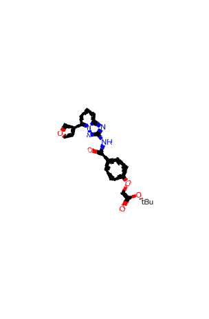 CC(C)(C)OC(=O)COc1ccc(C(=O)Nc2nc3cccc(-c4ccoc4)n3n2)cc1